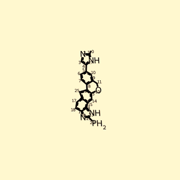 Cc1ncc(-c2ccc3c(c2)COc2cc4c(ccc5nc(P)[nH]c54)cc2-3)[nH]1